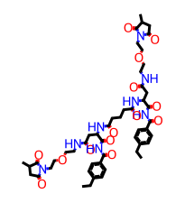 CCc1ccc(C(=O)NC(=O)C(CC(=O)NCCOCCN2C(=O)CC(C)C2=O)NC(=O)CCCC(=O)NC(CC(=O)NCCOCCN2C(=O)CC(C)C2=O)C(=O)NC(=O)c2ccc(CC)cc2)cc1